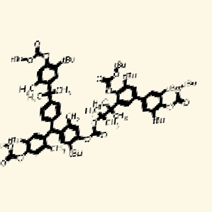 Cc1cc(OC(=O)OC(C)(C)C)c(C(C)(C)C)cc1C(c1ccc(C(C)(C)c2cc(C(C)(C)C)c(OC(=O)OC(C)(C)C)cc2C)cc1)c1cc(C(C)(C)C)c(OC(=O)OC(C)(C)C(C)(C)c2cc(-c3cc(C(C)(C)C)c(OC(=O)OC(C)(C)C)c(C(C)(C)C)c3)cc(C(C)(C)C)c2OC(=O)OC(C)(C)C)cc1C